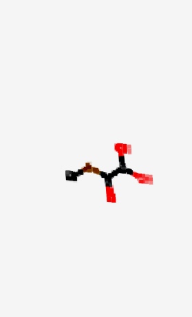 CCSC(=O)B(O)O